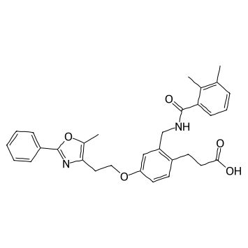 Cc1cccc(C(=O)NCc2cc(OCCc3nc(-c4ccccc4)oc3C)ccc2CCC(=O)O)c1C